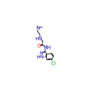 CN(C)CCNCC(=O)Nc1n[nH]c2cc(Cl)ccc12